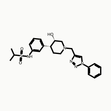 CC(C)S(=O)(=O)Nc1cccc([C@H]2CCN(Cc3cn(-c4ccccc4)nn3)C[C@H]2O)c1